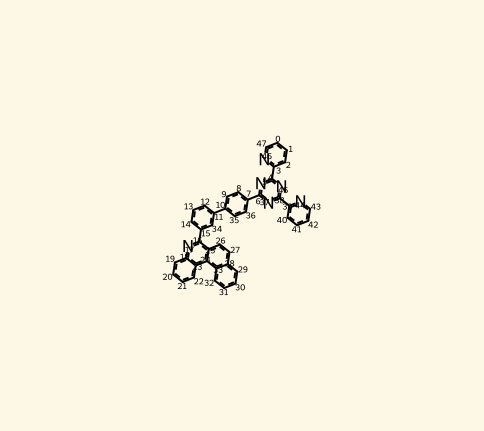 c1ccc(-c2nc(-c3ccc(-c4cccc(-c5nc6ccccc6c6c5ccc5ccccc56)c4)cc3)nc(-c3ccccn3)n2)nc1